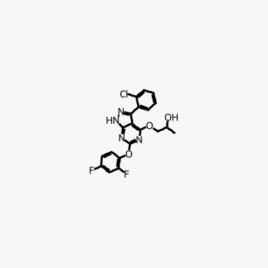 CC(O)COc1nc(Oc2ccc(F)cc2F)nc2[nH]nc(-c3ccccc3Cl)c12